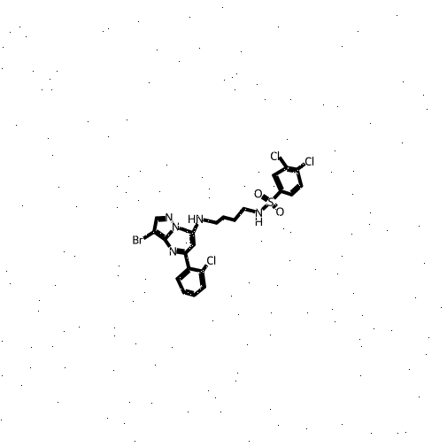 O=S(=O)(NCCCCNc1cc(-c2ccccc2Cl)nc2c(Br)cnn12)c1ccc(Cl)c(Cl)c1